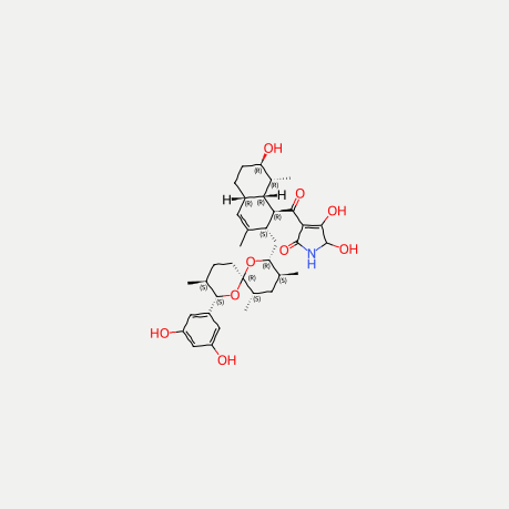 CC1=C[C@@H]2CC[C@@H](O)[C@H](C)[C@@H]2[C@@H](C(=O)C2=C(O)C(O)NC2=O)[C@@H]1C[C@H]1O[C@@]2(CC[C@H](C)[C@@H](c3cc(O)cc(O)c3)O2)[C@@H](C)C[C@@H]1C